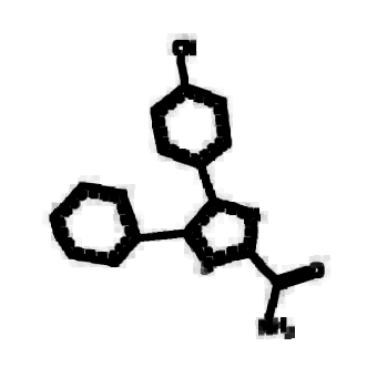 N#Cc1ccc(-c2nc(C(N)=O)sc2-c2ccccc2)cc1